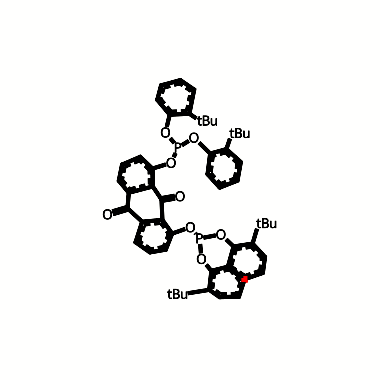 CC(C)(C)c1ccccc1OP(Oc1ccccc1C(C)(C)C)Oc1cccc2c1C(=O)c1c(OP(Oc3ccccc3C(C)(C)C)Oc3ccccc3C(C)(C)C)cccc1C2=O